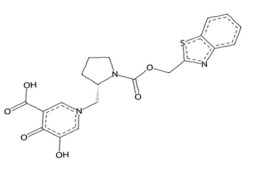 O=C(O)c1cn(C[C@@H]2CCCN2C(=O)OCc2nc3ccccc3s2)cc(O)c1=O